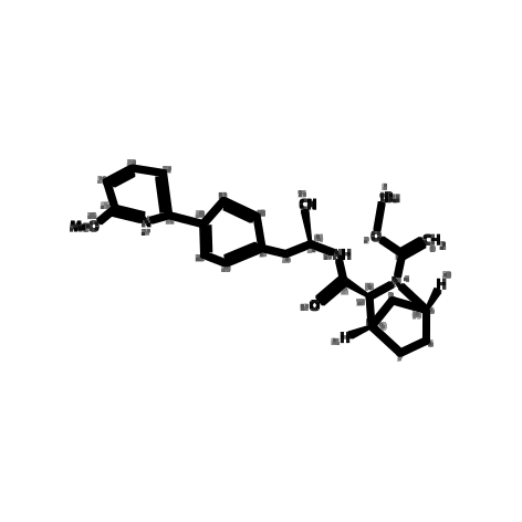 C=C(OC(C)(C)C)N1[C@@H]2CC[C@@H](C2)[C@H]1C(=O)N[C@H](C#N)Cc1ccc(-c2cccc(OC)n2)cc1